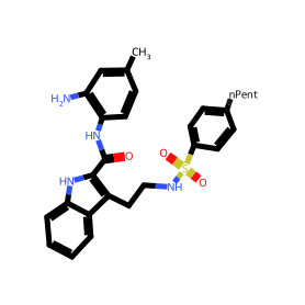 CCCCCc1ccc(S(=O)(=O)NCCc2c(C(=O)Nc3ccc(C)cc3N)[nH]c3ccccc23)cc1